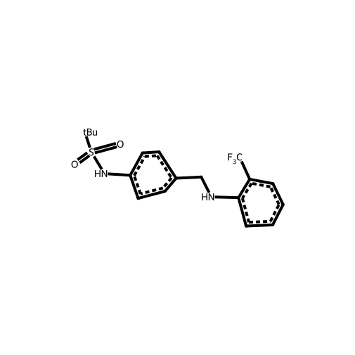 CC(C)(C)S(=O)(=O)Nc1ccc(CNc2ccccc2C(F)(F)F)cc1